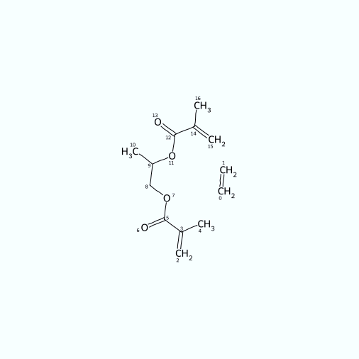 C=C.C=C(C)C(=O)OCC(C)OC(=O)C(=C)C